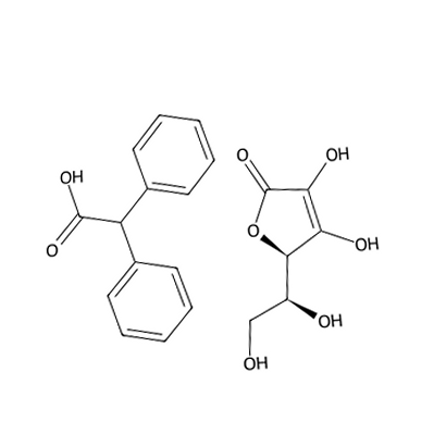 O=C(O)C(c1ccccc1)c1ccccc1.O=C1O[C@H]([C@@H](O)CO)C(O)=C1O